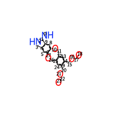 N=C1NCc2cc3c(cc21)OCc1cc(COC=O)c(COC=O)cc1CO3